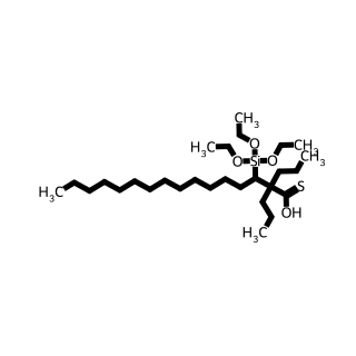 CCCCCCCCCCCCCC(C(CCC)(CCC)C(O)=S)[Si](OCC)(OCC)OCC